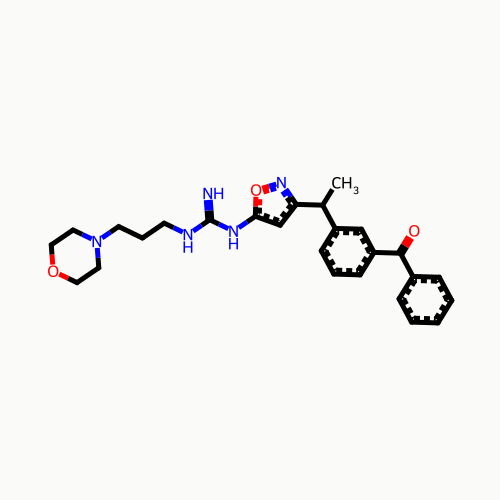 CC(c1cccc(C(=O)c2ccccc2)c1)c1cc(NC(=N)NCCCN2CCOCC2)on1